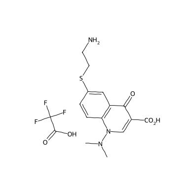 CN(C)n1cc(C(=O)O)c(=O)c2cc(SCCN)ccc21.O=C(O)C(F)(F)F